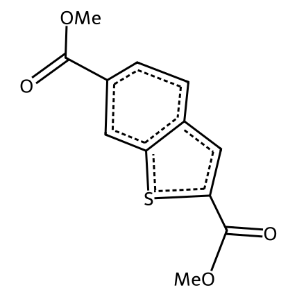 COC(=O)c1ccc2cc(C(=O)OC)sc2c1